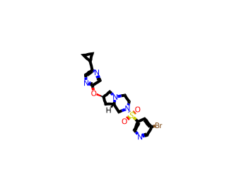 O=S(=O)(c1cncc(Br)c1)N1CCN2C[C@H](Oc3cnc(C4CC4)cn3)C[C@H]2C1